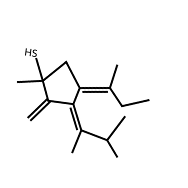 C=C1C(=C(\C)C(C)C)/C(=C(/C)CC)CC1(C)S